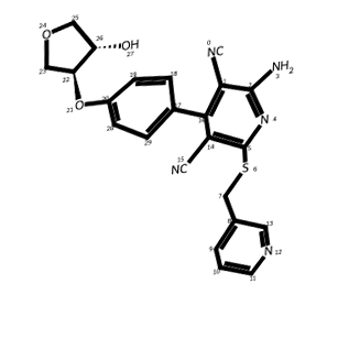 [C-]#[N+]c1c(N)nc(SCc2cccnc2)c(C#N)c1-c1ccc(O[C@H]2COC[C@@H]2O)cc1